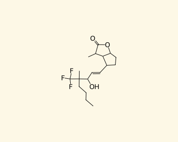 CCCCC(C)(C(O)C=CC1CCC2OC(=O)C(C)C12)C(F)(F)F